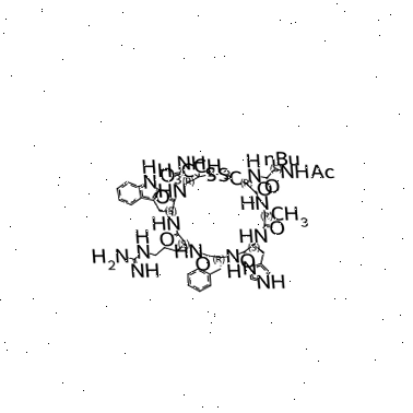 CCCC[C@H](NC(C)=O)C(=O)N[C@H]1CSSC(C)(C)[C@@H](C(N)=O)NC(=O)[C@H](Cc2c[nH]c3ccccc23)NC(=O)[C@H](CCCNC(=N)N)NC(=O)[C@@H](Cc2ccccc2)NC(=O)[C@H](Cc2c[nH]cn2)NC(=O)[C@@H](C)NC1=O